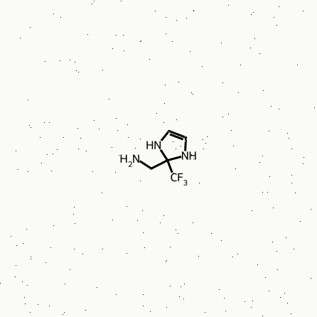 NCC1(C(F)(F)F)NC=CN1